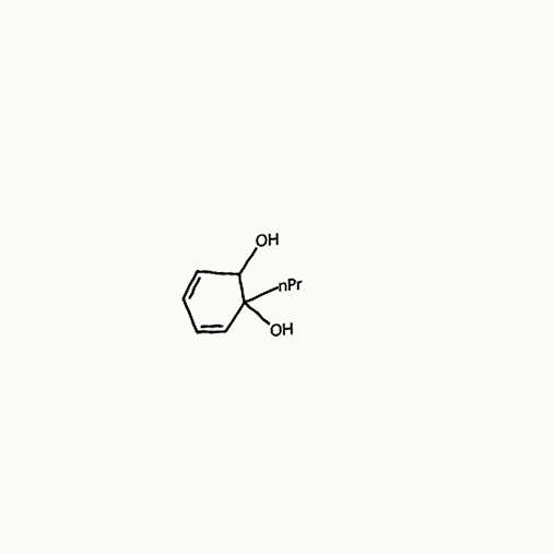 CCCC1(O)C=CC=CC1O